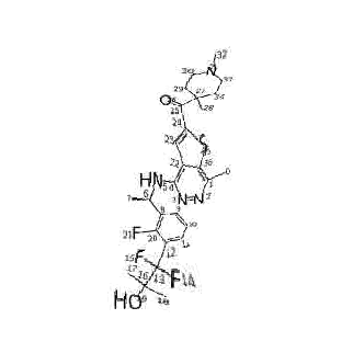 Cc1nnc(N[C@H](C)c2cccc(C(F)(F)C(C)(C)O)c2F)c2cc(C(=O)C3(C)CCN(C)CC3)sc12